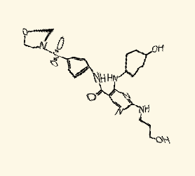 O=C(Nc1ccc(S(=O)(=O)N2CCOCC2)cc1)c1cnc(NCCCO)nc1NC1CCC(O)CC1